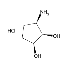 Cl.N[C@@H]1CC[C@H](O)[C@@H]1O